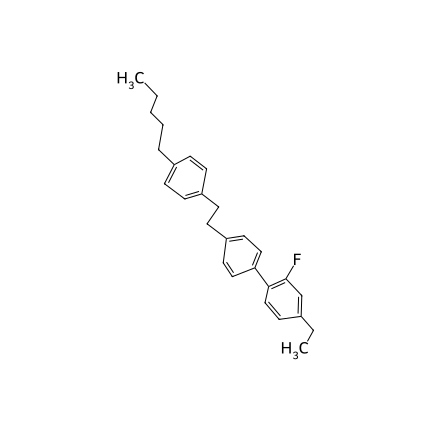 CCCCCc1ccc(CCc2ccc(-c3ccc(CC)cc3F)cc2)cc1